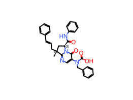 C[C@@]1(CC=Cc2ccccc2)C[C@@H](C(=O)Nc2ccccc2)n2c1ncc(N(Cc1ccccc1)C(=O)O)c2=O